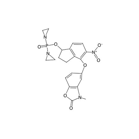 Cn1c(=O)oc2ccc(Oc3c([N+](=O)[O-])ccc4c3CCC4OP(=O)(N3CC3)N3CC3)cc21